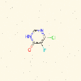 O=c1[nH]cnc(Cl)c1F